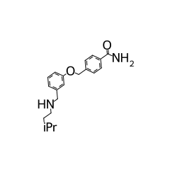 CC(C)CCNCc1cccc(OCc2ccc(C(N)=O)cc2)c1